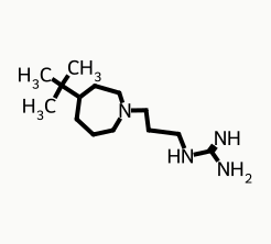 CC(C)(C)C1CCCN(CCCNC(=N)N)CC1